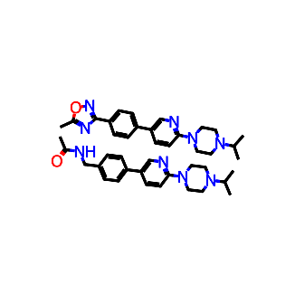 CC(=O)NCc1ccc(-c2ccc(N3CCN(C(C)C)CC3)nc2)cc1.Cc1nc(-c2ccc(-c3ccc(N4CCN(C(C)C)CC4)nc3)cc2)no1